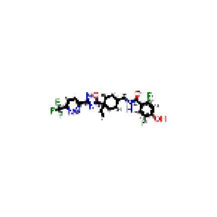 CCC1(c2nc(-c3ccc(C(F)(F)F)nn3)no2)CCC(CNC(=O)c2cc(F)c(O)cc2F)CC1